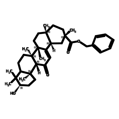 CC1(C)C2CC[C@]3(C)[C@H](C(=O)C=C4[C@@H]5C[C@@](C)(C(=O)OCc6ccccc6)CC[C@]5(C)CC[C@]43C)[C@@]2(C)CC[C@@H]1O